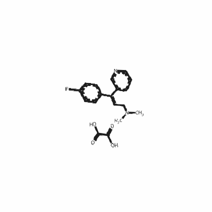 CN(C)C/C=C(/c1ccc(F)cc1)c1cccnc1.O=C(O)C(=O)O